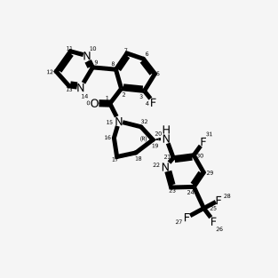 O=C(c1c(F)cccc1-c1ncccn1)N1CCC[C@@H](Nc2ncc(C(F)(F)F)cc2F)C1